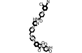 N#Cc1ccc(N2CCC(C(=O)Nc3ccc(N4CCC(CN5CCN(c6ccc7c(c6)C(=O)N(C6CCC(=O)NC6=O)C7=O)CC5)CC4)cn3)CC2)cc1Cl